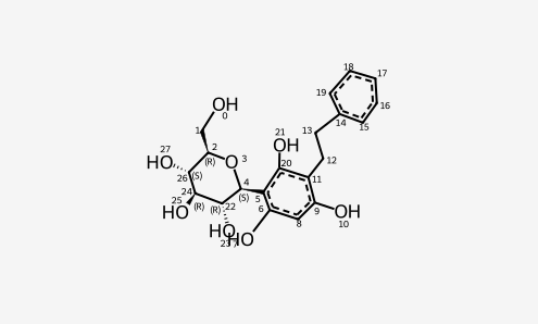 OC[C@H]1O[C@@H](c2c(O)cc(O)c(CCc3ccccc3)c2O)[C@H](O)[C@@H](O)[C@@H]1O